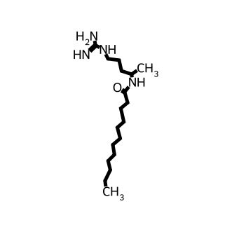 CCCCCCCCCCCC(=O)NC(C)CCCNC(=N)N